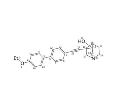 CCOc1ccc(-c2ccc(C#CC3(O)CN4CCC3CC4)cc2)cc1